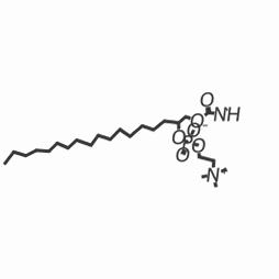 CCCCCCCCCCCCCCCCC(COC(=O)NC)OP(=O)([O-])OCC[N+](C)(C)C